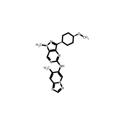 CO[C@H]1CC[C@@H](c2nn(C)c3cnc(Nc4cn5ncnc5cc4C)nc32)CC1